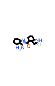 Nc1c2c(nn1C(=O)C1CCCc3[nH]c(Cl)cc31)CCCC2